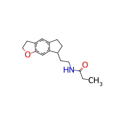 CCC(=O)NCCC1CCc2cc3c(cc21)OCC3